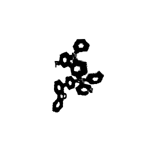 Fc1ccc2c(c1)c1cc([Si](c3ccccc3)(c3ccc(-c4cccc5c4oc4ccccc45)cc3)c3cccnc3)ccc1n2-c1ccccc1